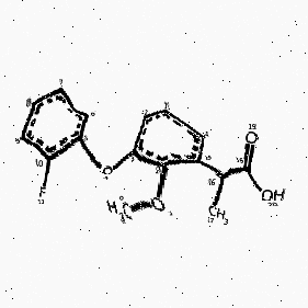 COc1c(Oc2ccccc2F)cccc1C(C)C(=O)O